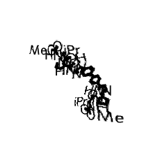 COC(=O)NC(C(=O)N1CCCC1C(=O)Nc1nc2cc(-c3ccc(-c4cnc(C5CCCN5C(=O)[C@@H](NC(=O)OC)C(C)C)[nH]4)cc3)ccc2[nH]1)C(C)C